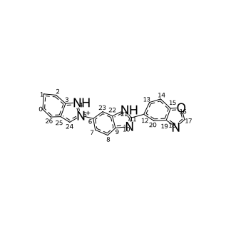 c1ccc2[nH][n+](-c3ccc4nc(-c5ccc6ocnc6c5)[nH]c4c3)cc2c1